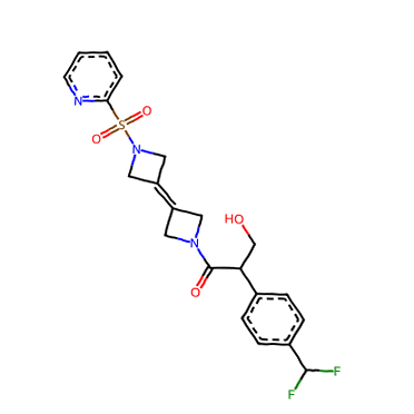 O=C(C(CO)c1ccc(C(F)F)cc1)N1CC(=C2CN(S(=O)(=O)c3ccccn3)C2)C1